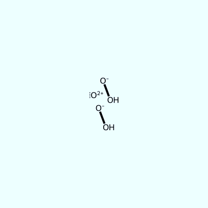 [O+2].[O-]O.[O-]O